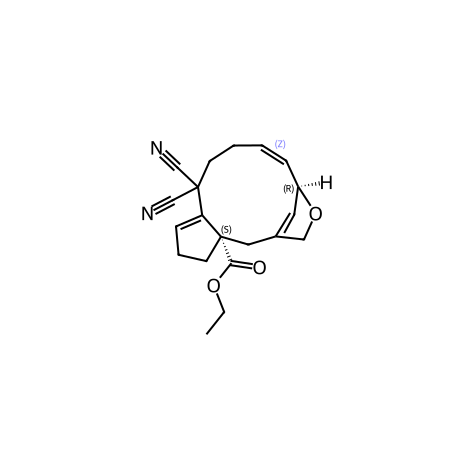 CCOC(=O)[C@]12CCC=C1C(C#N)(C#N)CC/C=C\[C@@H]1C=C(CO1)C2